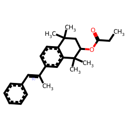 CCC(=O)OC1CC(C)(C)c2ccc(/C(C)=C/c3ccccc3)cc2C1(C)C